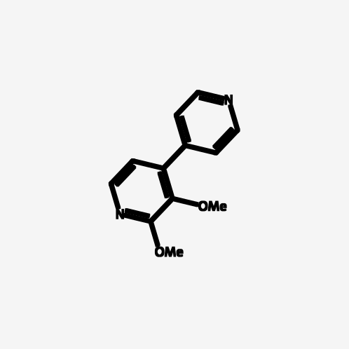 COc1nccc(-c2ccncc2)c1OC